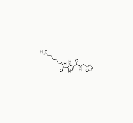 CCCCCCNC(=O)c1ncc(C(=O)NCc2ccco2)[nH]1